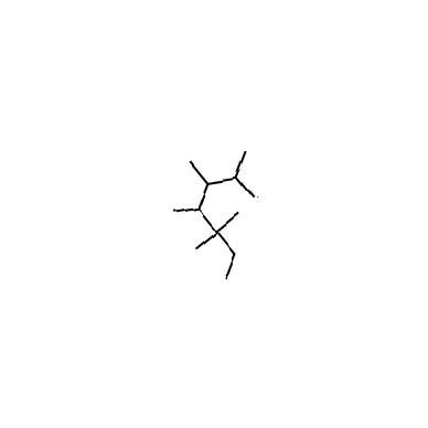 [CH2]C(C)C(C)C(C)C(C)(C)CC